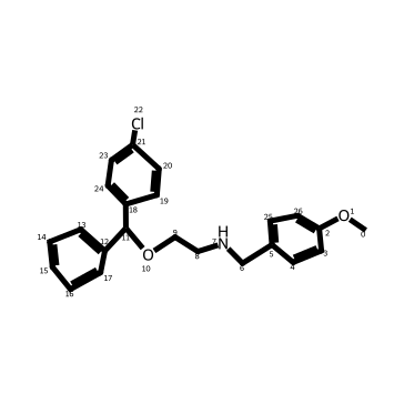 COc1ccc(CNCCOC(c2ccccc2)c2ccc(Cl)cc2)cc1